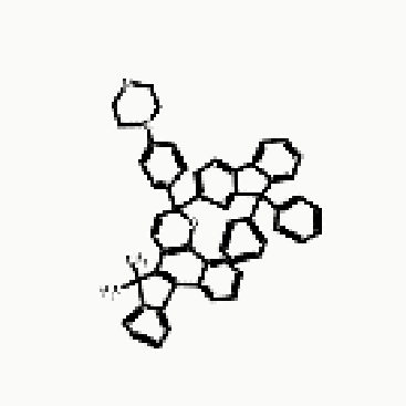 CC1(C)c2ccccc2-c2c1c1c(c3ccccc23)OC(c2ccc(N3CCOCC3)cc2)(c2ccc3c(c2)C(c2ccccc2)(c2ccccc2)c2ccccc2-3)C=C1